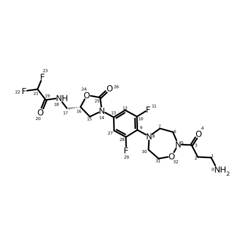 NCCC(=O)N1CCN(c2c(F)cc(N3C[C@H](CNC(=O)C(F)F)OC3=O)cc2F)CCO1